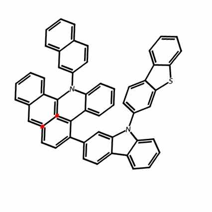 c1ccc(-c2ccccc2N(c2ccc3ccccc3c2)c2cccc3ccccc23)c(-c2ccc3c4ccccc4n(-c4ccc5c(c4)sc4ccccc45)c3c2)c1